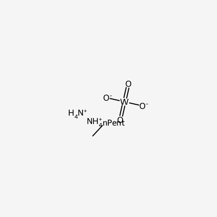 CCCCCC.[NH4+].[NH4+].[O]=[W](=[O])([O-])[O-]